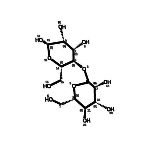 OC[C@@H]1OC(O[C@@H]2[C@@H](O)[C@@H](O)[C@H](O)O[C@H]2CO)[C@H](O)[C@H](O)[C@H]1O